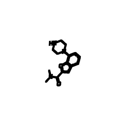 CN(C)C(=O)c1cc2cccc(N3CCNCC3)c2o1